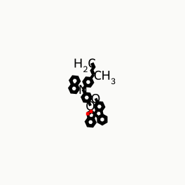 C=C/C=C(\C)c1ccc(N(c2ccc3c(c2)Oc2ccc4c(c2O3)C2(c3ccccc3-c3ccccc32)c2ccccc2-4)c2cccc3ccccc23)cc1